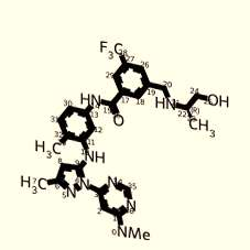 CNc1cc(-n2nc(C)cc2Nc2cc(NC(=O)c3cc(CN[C@H](C)CO)cc(C(F)(F)F)c3)ccc2C)ncn1